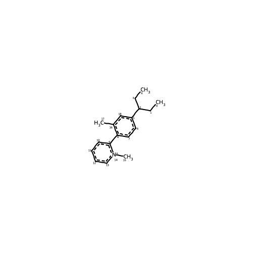 CCC(CC)c1ccc(-c2cccc[n+]2C)c(C)c1